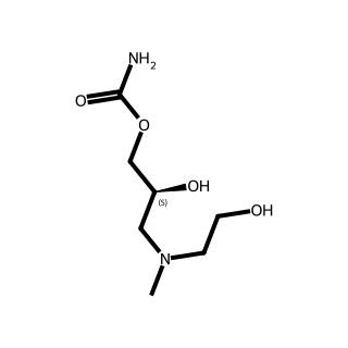 CN(CCO)C[C@H](O)COC(N)=O